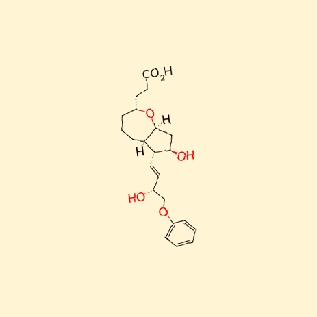 O=C(O)CC[C@H]1CCC[C@@H]2[C@@H](C=C[C@@H](O)COc3ccccc3)[C@H](O)C[C@@H]2O1